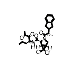 CCC[C@H](NC(=O)[C@@H]1[C@@H]2[C@H](CN1C(=O)[C@@H](C)C1Cc3ccccc3C1)C2(Cl)Cl)C(=O)C(C)=O